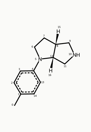 Cc1ccc(N2CC[C@@H]3CNC[C@@H]32)cc1